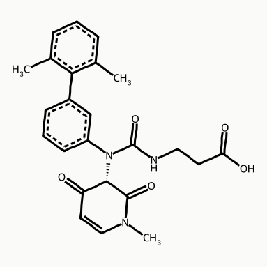 Cc1cccc(C)c1-c1cccc(N(C(=O)NCCC(=O)O)[C@H]2C(=O)C=CN(C)C2=O)c1